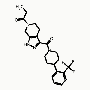 CCC(=O)N1CCc2c(C(=O)N3CCC(c4ccccc4C(F)(F)F)CC3)n[nH]c2C1